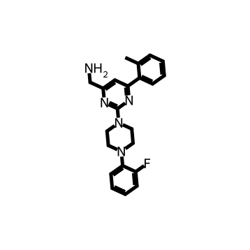 Cc1ccccc1-c1cc(CN)nc(N2CCN(c3ccccc3F)CC2)n1